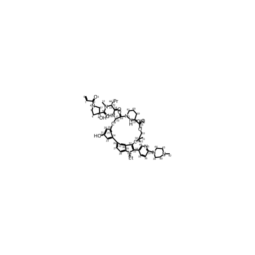 C=CC(=O)N1CC[C@](O)(C(=O)N(C)[C@H](C(=O)N[C@H]2Cc3cc(O)cc(c3)-c3ccc4c(c3)c(c(-c3ccc(N5CCN(C)CC5)nc3)n4CC)CC(C)(C)COC(=O)[C@@]3(O)CCCN(N3)C2=O)C(C)C)C1